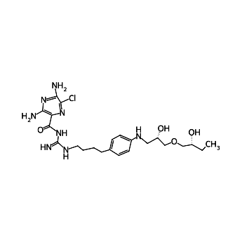 CC[C@@H](O)COC[C@@H](O)CNc1ccc(CCCCNC(=N)NC(=O)c2nc(Cl)c(N)nc2N)cc1